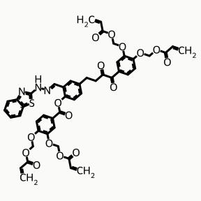 C=CC(=O)OCOc1ccc(C(=O)Oc2ccc(CCC(=O)C(=O)c3ccc(OCOC(=O)C=C)c(OCOC(=O)C=C)c3)cc2/C=N/Nc2nc3ccccc3s2)cc1OCOC(=O)C=C